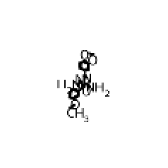 CCOc1cccc(C(=O)[N+]2(N)N=C(c3ccc4c(c3)OCCO4)N=C2N)c1